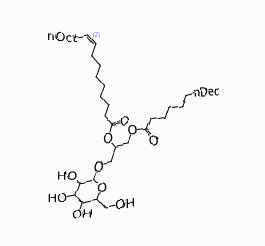 CCCCCCCC/C=C\CCCCCCCC(=O)OC(COC(=O)CCCCCCCCCCCCCCC)COC1OC(CO)C(O)C(O)C1O